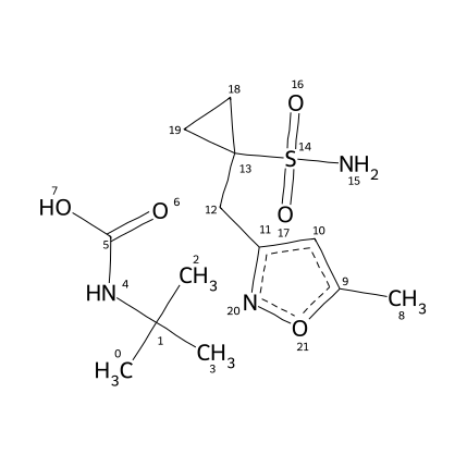 CC(C)(C)NC(=O)O.Cc1cc(CC2(S(N)(=O)=O)CC2)no1